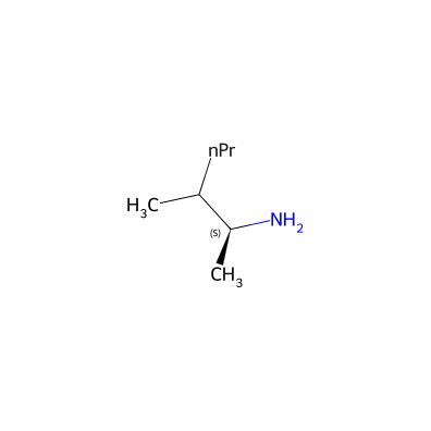 CCCC(C)[C@H](C)N